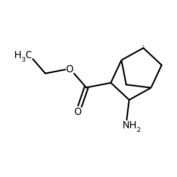 CCOC(=O)C1C2[CH]CC(C2)C1N